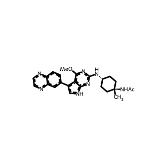 COc1nc(N[C@H]2CC[C@](C)(NC(C)=O)CC2)nc2[nH]cc(-c3ccc4nccnc4c3)c12